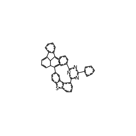 C1=CC2C(c3ccc4sc5cccc(-c6nc(-c7ccccc7)nc(-c7ccccc7)n6)c5c4c3)=CC=C3c4ccccc4C(=C1)C32